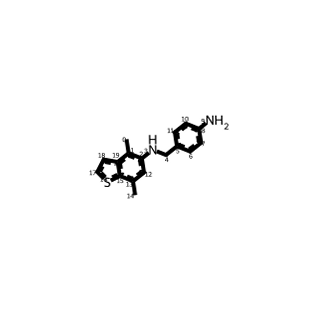 Cc1c(NCc2ccc(N)cc2)cc(C)c2sccc12